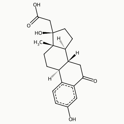 C[C@]12CC[C@@H]3c4ccc(O)cc4C(=O)C[C@H]3[C@@H]1CC[C@@]2(O)CC(=O)O